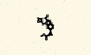 COC(=O)C1CC1c1ccc2nc(CCl)n(C[C@@H]3CCO3)c2c1